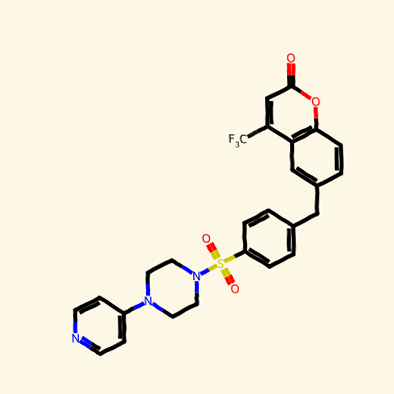 O=c1cc(C(F)(F)F)c2cc(Cc3ccc(S(=O)(=O)N4CCN(c5ccncc5)CC4)cc3)ccc2o1